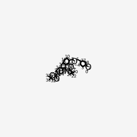 COc1ccc(COCc2ccc3c(c2)[C@@H](N[S+]([O-])C(C)(C)C)C2(CCN(C(=O)OC(C)(C)C)CC2)C3)cc1